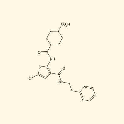 O=C(NCCc1ccccc1)c1cc(Cl)sc1NC(=O)C1CCC(C(=O)O)CC1